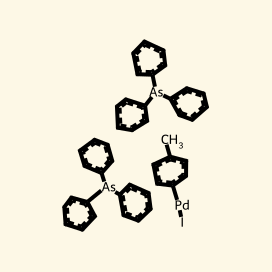 Cc1cc[c]([Pd][I])cc1.c1ccc([As](c2ccccc2)c2ccccc2)cc1.c1ccc([As](c2ccccc2)c2ccccc2)cc1